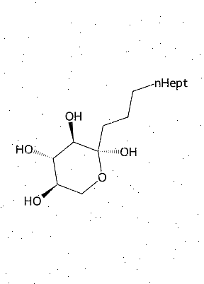 CCCCCCCCCC[C@@]1(O)OC[C@@H](O)[C@H](O)[C@H]1O